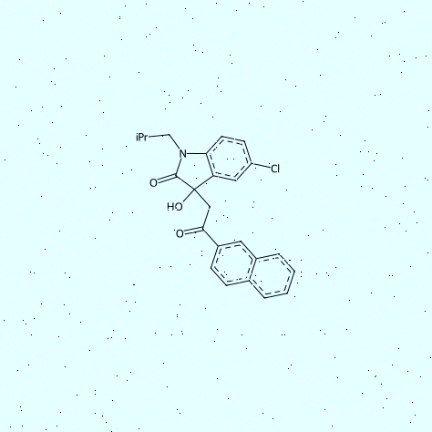 CC(C)CN1C(=O)C(O)(CC(=O)c2ccc3ccccc3c2)c2cc(Cl)ccc21